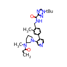 C=CC(=O)N(C)C1CCCN(c2cnccc2-c2ccc(CNC(=O)c3ncn(C(C)(C)C)n3)c(C)c2)C1